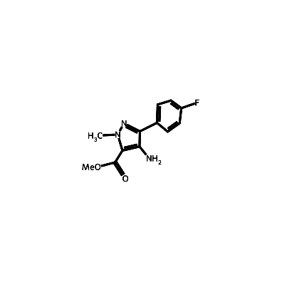 COC(=O)c1c(N)c(-c2ccc(F)cc2)nn1C